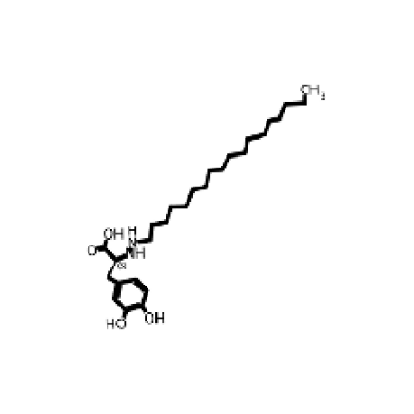 CCCCCCCCCCCCCCCCCCNN[C@@H](Cc1ccc(O)c(O)c1)C(=O)O